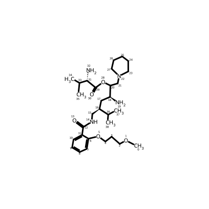 COCCCOc1ccccc1C(=O)NC[C@@H](C[C@H](N)C(CN1CCCCC1)OC(=O)[C@@H](N)C(C)C)C(C)C